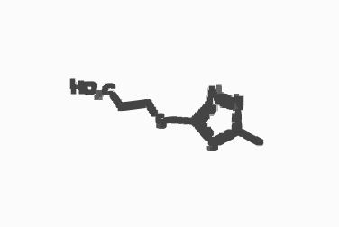 Cc1nnc(SC=CC(=O)O)s1